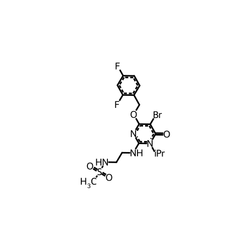 CC(C)n1c(NCCNS(C)(=O)=O)nc(OCc2ccc(F)cc2F)c(Br)c1=O